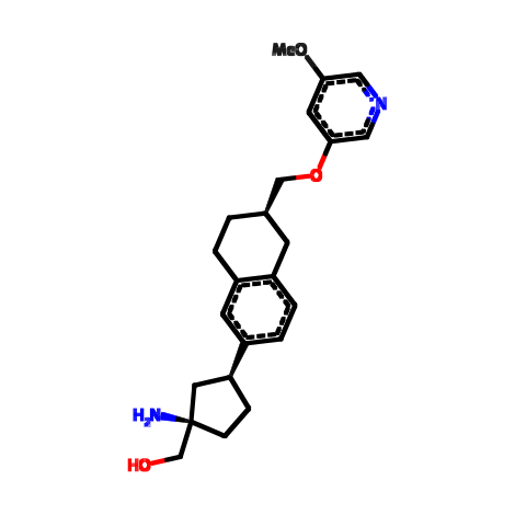 COc1cncc(OC[C@@H]2CCc3cc([C@H]4CC[C@](N)(CO)C4)ccc3C2)c1